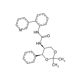 CC1(C)OC[C@H](NC(=O)Nc2ccccc2-c2cccnc2)[C@H](c2ccccc2)O1